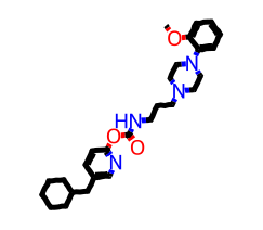 COc1ccccc1N1CCN(CCCNC(=O)Oc2ccc(CC3CCCCC3)cn2)CC1